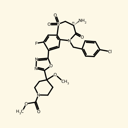 COC(=O)N1CCC(OC)(c2nnc(-c3cc4c(cc3F)S(=O)(=O)C[C@H](N)C(=O)N4Cc3ccc(Cl)cc3)o2)CC1